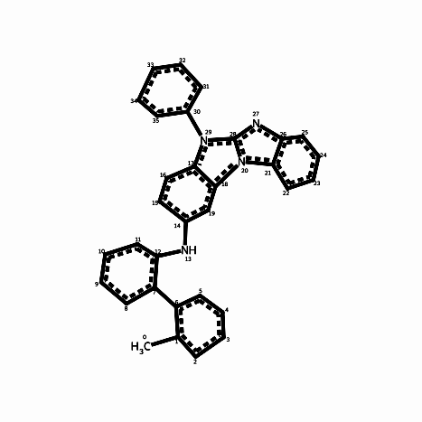 Cc1ccccc1-c1ccccc1Nc1ccc2c(c1)n1c3ccccc3nc1n2-c1ccccc1